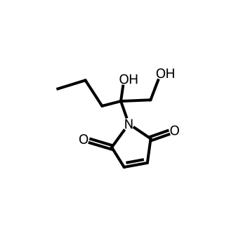 CCCC(O)(CO)N1C(=O)C=CC1=O